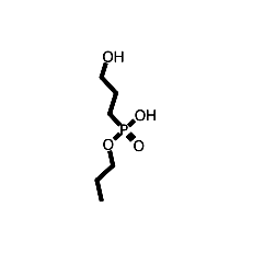 CCCOP(=O)(O)CCCO